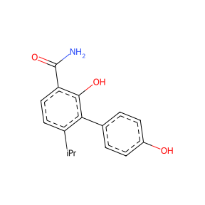 CC(C)c1ccc(C(N)=O)c(O)c1-c1ccc(O)cc1